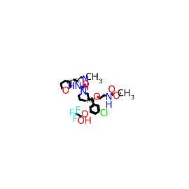 CNC[C@H](C[C@H]1CCCOC1)NC(=O)N1CCC[C@@H]([C@@H](OCCNC(=O)OC)c2cccc(Cl)c2)C1.O=C(O)C(F)(F)F